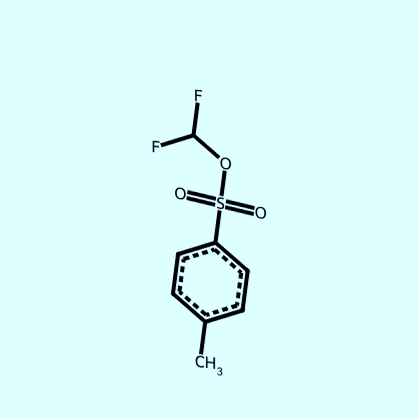 Cc1ccc(S(=O)(=O)OC(F)F)cc1